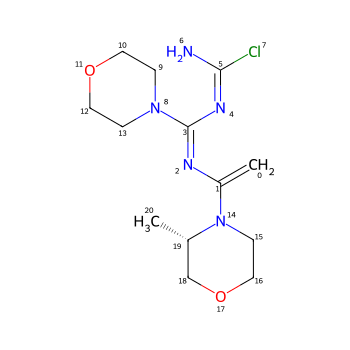 C=C(/N=C(\N=C(/N)Cl)N1CCOCC1)N1CCOC[C@@H]1C